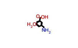 NCc1cccc(C(=O)O)c1.O